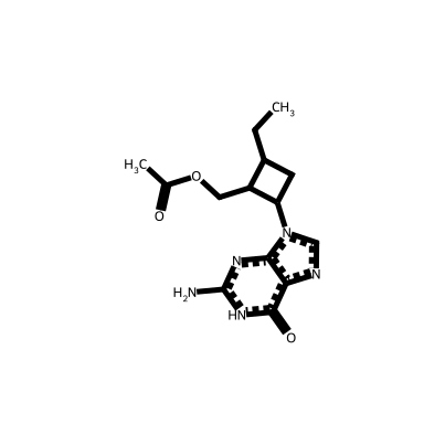 CCC1CC(n2cnc3c(=O)[nH]c(N)nc32)C1COC(C)=O